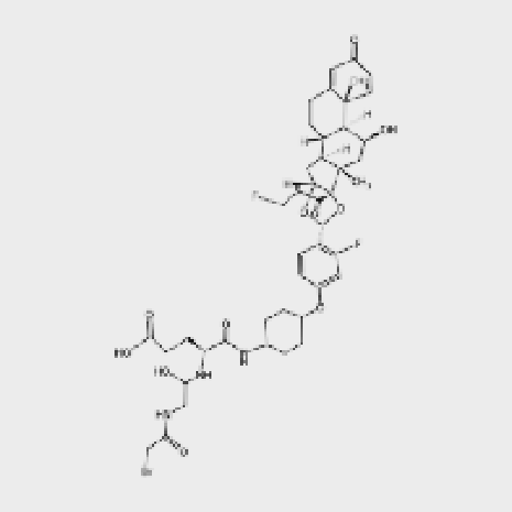 C[C@]12C=CC(=O)C=C1CC[C@@H]1[C@@H]2[C@@H](O)C[C@@]2(C)[C@H]1C[C@H]1O[C@@H](c3ccc(OC4CCC(NC(=O)[C@H](CCC(=O)O)NC(O)CNC(=O)CBr)CC4)cc3F)O[C@]12C(=O)SCF